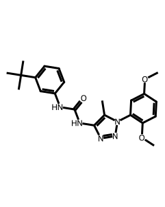 COc1ccc(OC)c(-n2nnc(NC(=O)Nc3cccc(C(C)(C)C)c3)c2C)c1